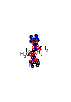 C=CC(=O)Oc1ccc(C(C)(C)c2ccc(OC(=O)C=C)c(N3C(=O)c4ccc5c6c(ccc(c46)C3=O)C(=O)N(c3cc(-n4c(-c6ccccc6)nc6ccccc64)cc(-n4c(-c6ccccc6)nc6ccccc64)c3)C5=O)c2)cc1N1C(=O)c2ccc3c4c(ccc(c24)C1=O)C(=O)N(c1cc(C2C(c4ccccc4)=Nc4ccccc42)cc(C2C(c4ccccc4)=Nc4ccccc42)c1)C3=O